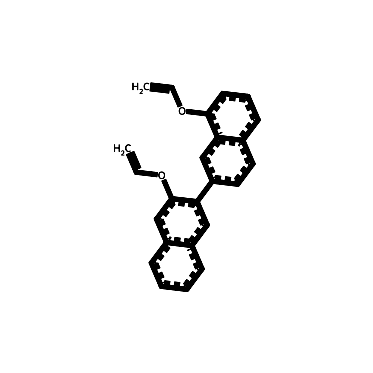 C=COc1cc2ccccc2cc1-c1ccc2cccc(OC=C)c2c1